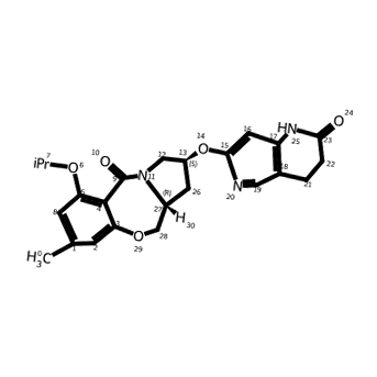 Cc1cc2c(c(OC(C)C)c1)C(=O)N1C[C@@H](Oc3cc4c(cn3)CCC(=O)N4)C[C@@H]1CO2